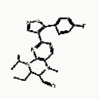 CCC1C(C=O)N(C)c2cnc(-c3cnsc3-c3ccc(F)cc3)nc2N1C(C)C